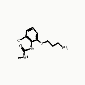 CNC(=O)Nc1c(Cl)cccc1OCCCN